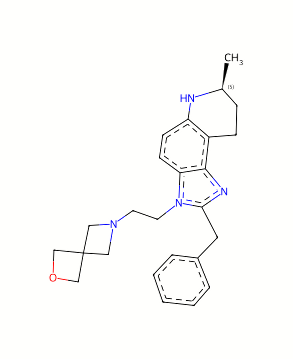 C[C@H]1CCc2c(ccc3c2nc(Cc2ccccc2)n3CCN2CC3(COC3)C2)N1